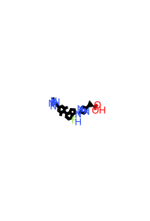 Cc1cc(-c2nnn(C)n2)cc(C)c1-c1ccc(F)c2c1CC[C@H]2Nc1cnc(C2C[C@H]2C(=O)O)cn1